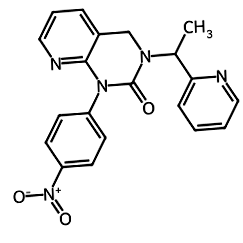 CC(c1ccccn1)N1Cc2cccnc2N(c2ccc([N+](=O)[O-])cc2)C1=O